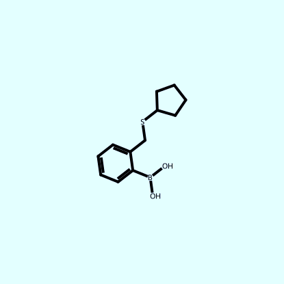 OB(O)c1ccccc1CSC1CCCC1